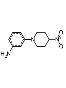 Nc1cccc(N2CCC([N+](=O)[O-])CC2)c1